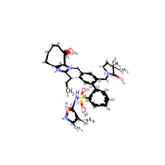 CCCc1nc2c(n1Cc1ccc(-c3ccccc3S(=O)(=O)Nc3onc(C)c3C)c(CN3CCC(C)(C)C3=O)c1)C(=O)CCCC2